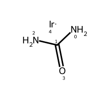 NC(N)=O.[Ir]